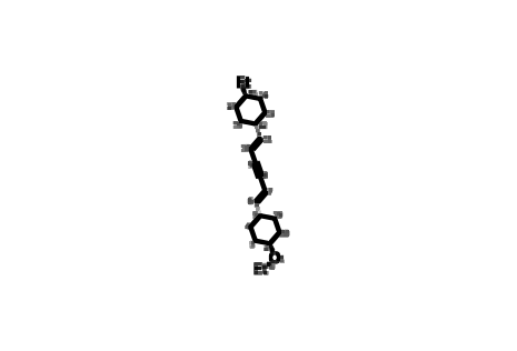 CCO[C@H]1CC[C@H](/C=C/C#C/C=C/[C@H]2CC[C@H](CC)CC2)CC1